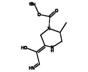 CC1CN/C(=C(/O)C=N)CN1C(=O)OC(C)(C)C